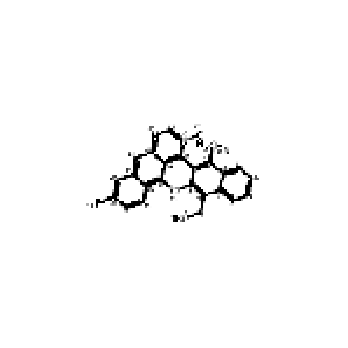 Cc1c2c(c(CC(C)(C)C)c3ccccc13)Oc1c3ccc(F)cc3cc3nc[n+](C)c-2c13